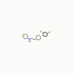 Fc1ccc([C@H]2CC[C@H](CCNC3CCOCC3)CC2)c(F)c1